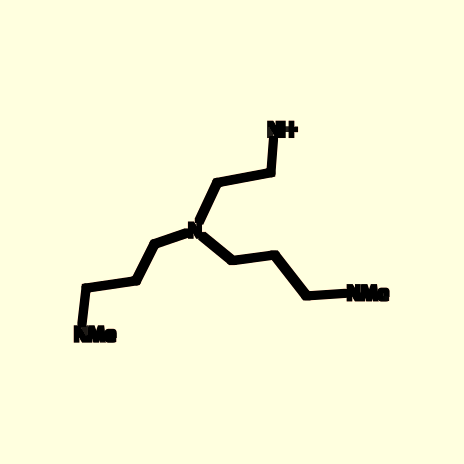 CNCCCN(CC[NH])CCCNC